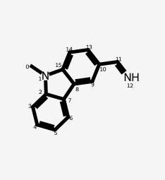 Cn1c2ccccc2c2cc(C=N)ccc21